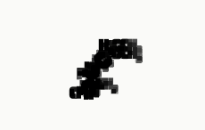 CC(C)(C)OC(=O)N1CCC(n2cc(-c3cc(Cl)nnc3N)c(F)n2)CC1